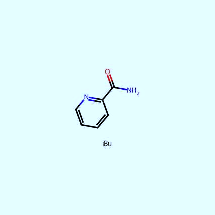 CC[C@H](C)c1ccnc(C(N)=O)c1